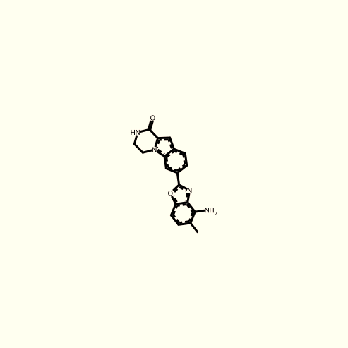 Cc1ccc2oc(-c3ccc4cc5n(c4c3)CCNC5=O)nc2c1N